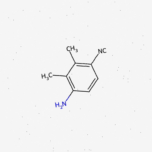 [C-]#[N+]c1ccc(N)c(C)c1C